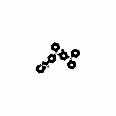 Cc1cc(N(c2ccccc2)c2ccccc2)ccc1N(c1ccccc1)c1ccc(-c2cn3ccccc3n2)cc1